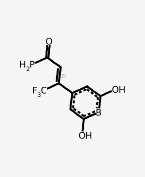 O=C(P)/C=C(/c1cc(O)bc(O)c1)C(F)(F)F